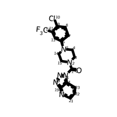 O=C(N1CCN(c2ccc(Cl)c(C(F)(F)F)c2)CC1)n1nnc2ncccc21